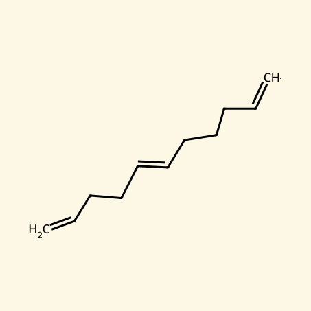 [CH]=CCCCC=CCCC=C